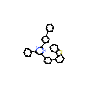 c1ccc(-c2ccc(-c3nc(-c4ccccc4)cc(-c4cccc(-c5cccc6sc7ccccc7c56)c4)n3)cc2)cc1